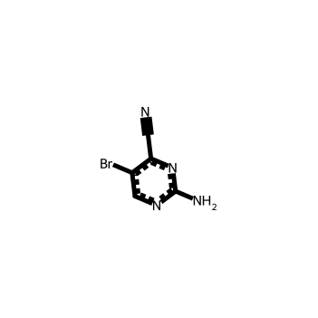 N#Cc1nc(N)ncc1Br